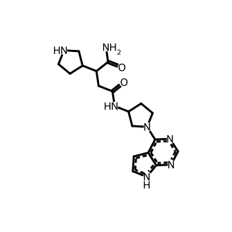 NC(=O)C(CC(=O)NC1CCN(c2ncnc3[nH]ccc23)C1)C1CCNC1